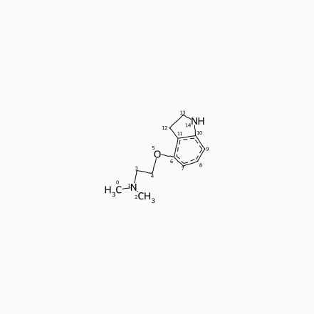 CN(C)CCOc1cccc2c1CCN2